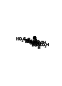 C[C@@H](O)[C@H](NC(=O)CNC(=O)[C@@H](N)CCC(=O)O)C(=O)N[C@@H](Cc1ccccc1)C(=O)N[C@H](C(=O)N[C@@H](CO)C(=O)O)[C@@H](C)O